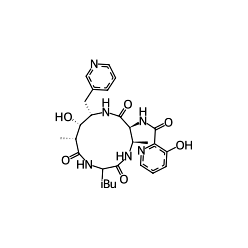 CCC(C)C1NC(=O)[C@H](C)[C@H](O)[C@H](Cc2cccnc2)NC(=O)[C@@H](NC(=O)c2ncccc2O)[C@@H](C)NC1=O